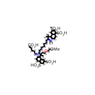 CC[N+]1=C(/C=C/C=C/C=C/C=C2/N(CCCCCC(=O)O)c3ccc4c(S(=O)(=O)O)cc(S(=O)(=O)O)cc4c3C2(C)CCOCCOC)C(C)(C)c2c1ccc1c(S(=O)(=O)O)cc(S(=O)(=O)O)cc21